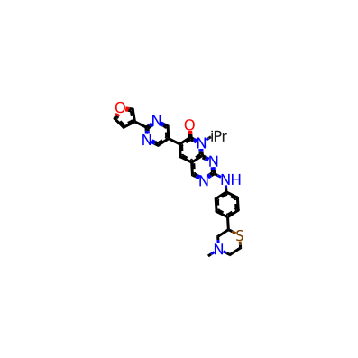 CC(C)n1c(=O)c(-c2cnc(-c3ccoc3)nc2)cc2cnc(Nc3ccc(C4CN(C)CCS4)cc3)nc21